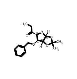 CCC(=O)[C@H]1O[C@@H]2OC(C)(C)O[C@@H]2[C@H]1OCc1ccccc1